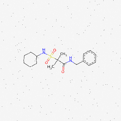 CC(C)(C(=O)NCc1ccccc1)S(=O)(=O)NC1CCCCC1